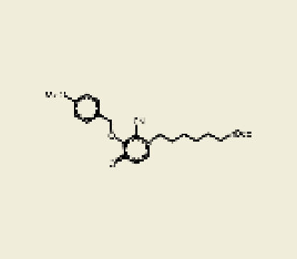 CCCCCCCCCCCCCCCCn1ccc(=O)c(OCc2ccc(OC)cc2)c1C#N